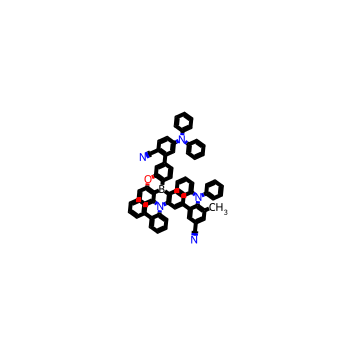 Cc1cc(C#N)cc(-c2ccc3c(c2)N(c2ccccc2-c2ccccc2)c2cccc4c2B3c2ccc(-c3cc(N(c5ccccc5)c5ccccc5)ccc3C#N)cc2O4)c1N(c1ccccc1)c1ccccc1